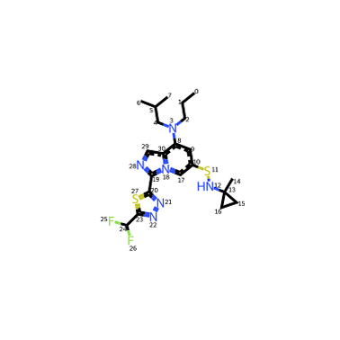 CCCN(CC(C)C)c1cc(SNC2(C)CC2)cn2c(-c3nnc(C(F)F)s3)ncc12